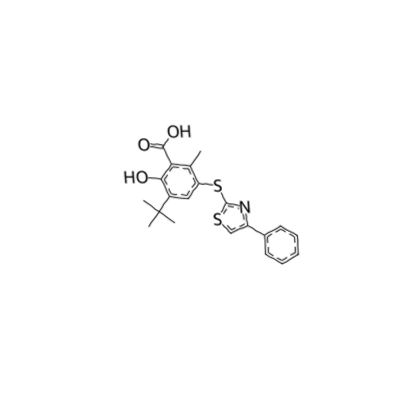 Cc1c(Sc2nc(-c3ccccc3)cs2)cc(C(C)(C)C)c(O)c1C(=O)O